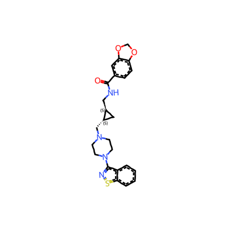 O=C(NC[C@H]1C[C@@H]1CN1CCN(c2nsc3ccccc23)CC1)c1ccc2c(c1)OCO2